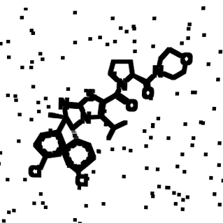 CC(C)C1=C(C(=O)N2CCC[C@H]2C(=O)N2CCOCC2)SC2=N[C@@](C)(c3ccc(Cl)cc3)[C@@H](c3ccc(Cl)cc3)N21